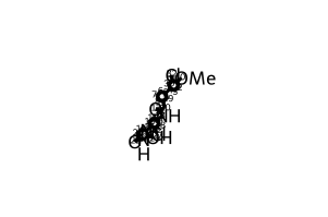 COc1ccc(-c2cccc(CC(=O)Nc3ccc(N4C=CC(=O)NC4O)c(Cl)c3)c2)cc1Cl